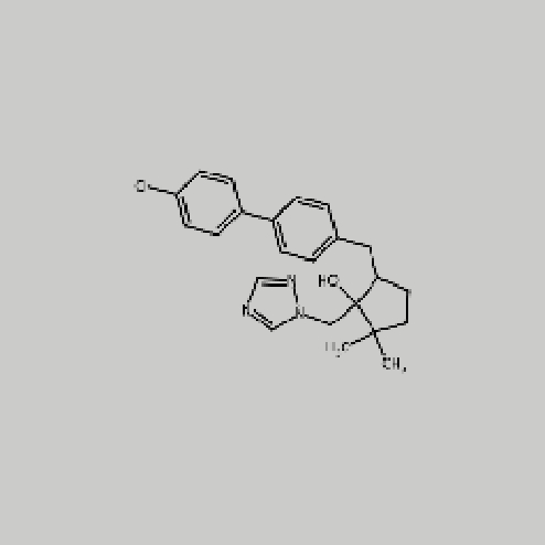 CC1(C)CCC(Cc2ccc(-c3ccc(Cl)cc3)cc2)C1(O)Cn1cncn1